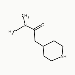 CN(C)C(=O)CC1CCNCC1